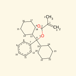 C=C(C)C(=O)OC(c1ccccc1)(C1CCCCC1)C1CCCCC1